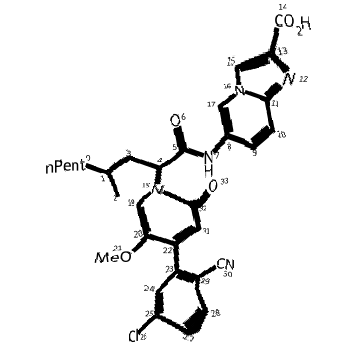 CCCCCC(C)CC(C(=O)Nc1ccc2nc(C(=O)O)cn2c1)n1cc(OC)c(-c2cc(Cl)ccc2C#N)cc1=O